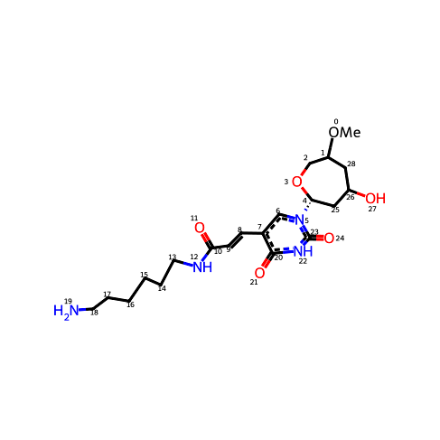 COC1CO[C@@H](n2cc(/C=C/C(=O)NCCCCCCN)c(=O)[nH]c2=O)CC(O)C1